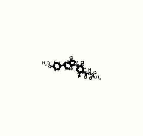 COc1ccc(-c2cnc3c(c2)c(Cl)cn3-c2cc(F)c(C(=O)NS(C)(=O)=O)cc2Cl)cc1